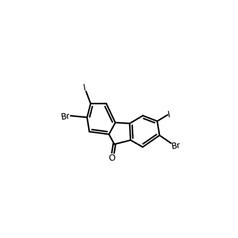 O=C1c2cc(Br)c(I)cc2-c2cc(I)c(Br)cc21